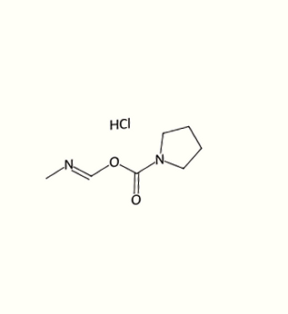 CN=COC(=O)N1CCCC1.Cl